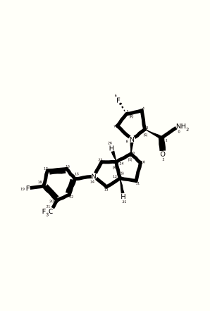 NC(=O)[C@@H]1C[C@@H](F)CN1[C@H]1CC[C@@H]2CN(c3ccc(F)c(C(F)(F)F)c3)C[C@@H]21